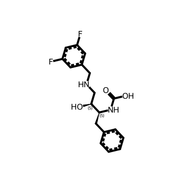 O=C(O)N[C@@H](Cc1ccccc1)[C@@H](O)CNCc1cc(F)cc(F)c1